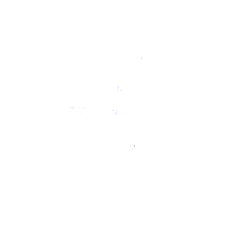 COc1ccc(F)cc1[C@H](C(=O)O)n1cc2cccc(Br)c2n1